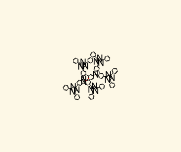 N#Cc1ccc(-n2c3ccc(-c4nc(-c5ccccc5)nc(-c5ccccc5)n4)cc3c3cc(-c4nc(-c5ccccc5)nc(-c5ccccc5)n4)ccc32)cc1-c1cc(-c2nc(-c3ccccc3)nc(-c3ccccc3)n2)ccc1-n1c2ccc(-c3nc(-c4ccccc4)nc(-c4ccccc4)n3)cc2c2cc(-c3nc(-c4ccccc4)nc(-c4ccccc4)n3)ccc21